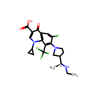 CCN[C@@H](C)C1CCN(c2c(F)cc3c(=O)c(C(=O)O)cn(C4CC4)c3c2C(F)(F)F)C1